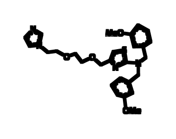 COc1cccc(CN(Cc2cccc(OC)c2)c2nc(COCCOCCn3ccnc3)cs2)c1